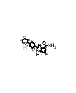 NC(=O)c1cc(F)cc2[nH]c(-c3ccc(C4CCCCN4)cc3F)nc12